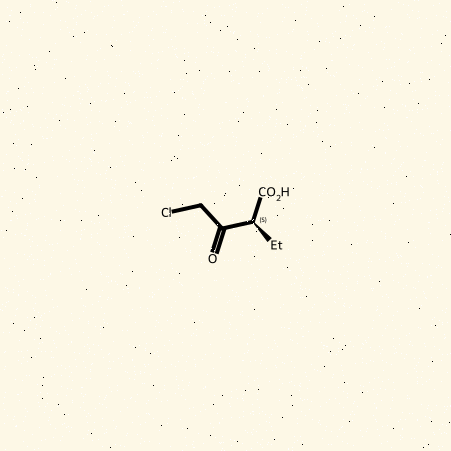 CC[C@H](C(=O)O)C(=O)CCl